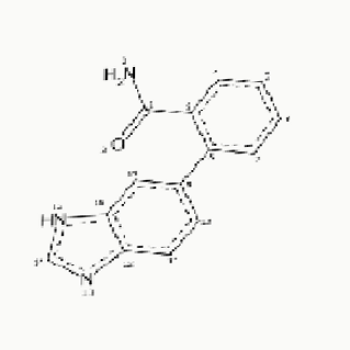 NC(=O)c1ccccc1-c1ccc2nc[nH]c2c1